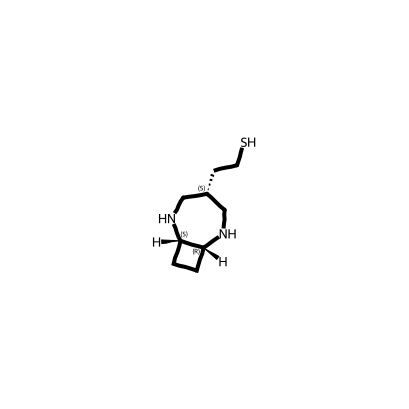 SCC[C@H]1CN[C@H]2CC[C@H]2NC1